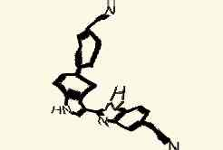 N#Cc1ccc(-c2ccc3[nH]cc(-c4nc5cc(C#N)ccc5[nH]4)c3c2)cc1